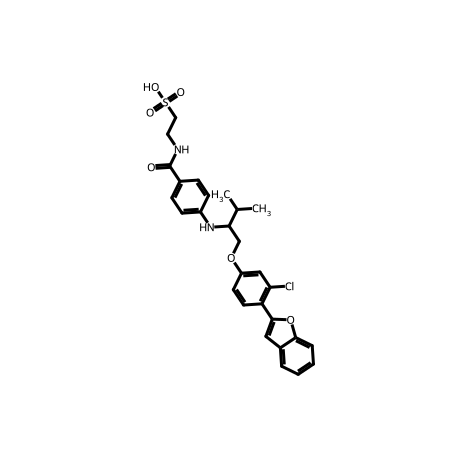 CC(C)C(COc1ccc(-c2cc3ccccc3o2)c(Cl)c1)Nc1ccc(C(=O)NCCS(=O)(=O)O)cc1